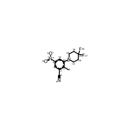 Cc1c(C#N)cc([N+](=O)[O-])cc1N1CCC(F)(F)CC1